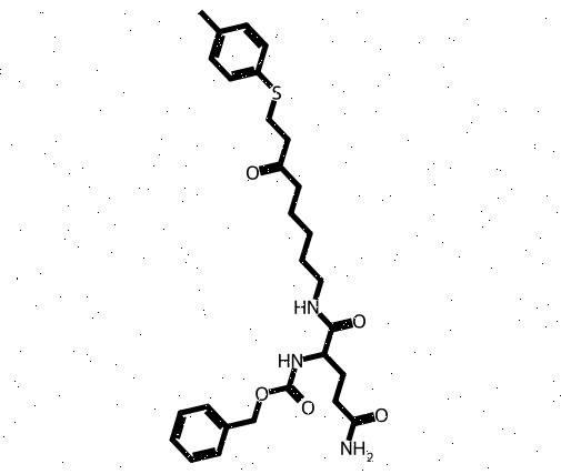 Cc1ccc(SCCC(=O)CCCCCNC(=O)C(CCC(N)=O)NC(=O)OCc2ccccc2)cc1